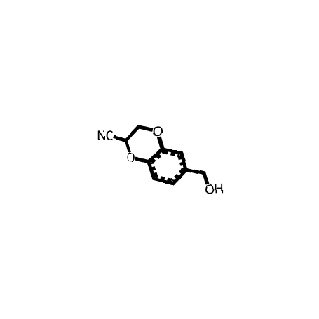 N#CC1COc2cc(CO)ccc2O1